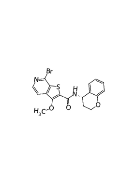 COc1c(C(=O)N[C@H]2CCOc3ccccc32)sc2c(Br)nccc12